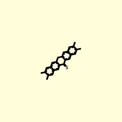 Cc1cc2cc3c(cc2cc1C)C(=S)c1cc2cc(C)c(C)cc2cc1C3